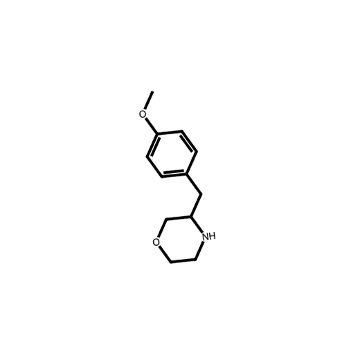 COc1ccc(CC2COCCN2)cc1